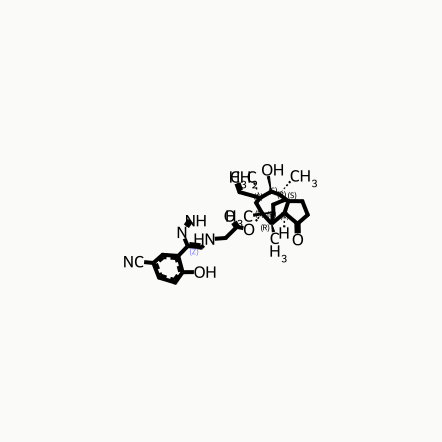 C=C[C@]1(C)C[C@@H](OC(=O)CN/C=C(\N=N)c2cc(C#N)ccc2O)[C@]2(C)[C@H](C)CC[C@]3(CCC(=O)[C@H]32)[C@@H](C)[C@@H]1O